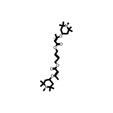 C/C(=C/C(=O)OCC=CCOC(=O)/C=C(/C)OC1CC(C)(C)N(C)C(C)(C)C1)OC1CC(C)(C)N(C)C(C)(C)C1